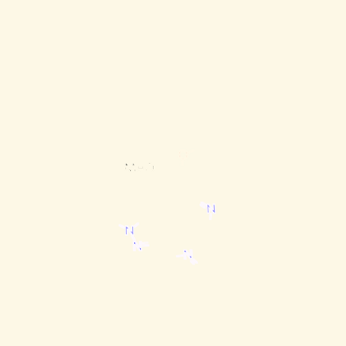 COc1cc2c(-c3c(-c4ccccn4)nn4c3CCC4)ccnc2cc1OCc1ccccc1